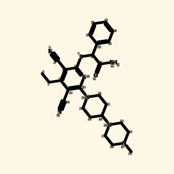 CCc1c(C#N)c(SC(C(N)=O)c2ccccc2)nc(N2CCC(N3CCN(C)CC3)CC2)c1C#N